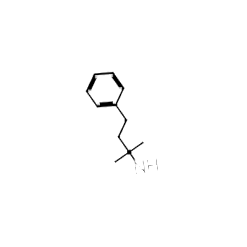 CC(C)([NH])CCc1ccccc1